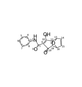 O=C(Nc1ccccc1)C1=C(O)C2C3C=CC(O3)C2C1=O